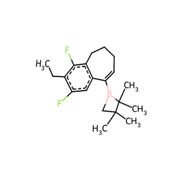 CCc1c(F)cc2c(c1F)CCCC=C2B1CC(C)(C)C1(C)C